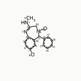 CNC1=Nc2ccc(Cl)cc2C(c2ccccc2)N([O])C1